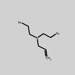 C=CCN(CCC(C)=O)CCC(C)=O